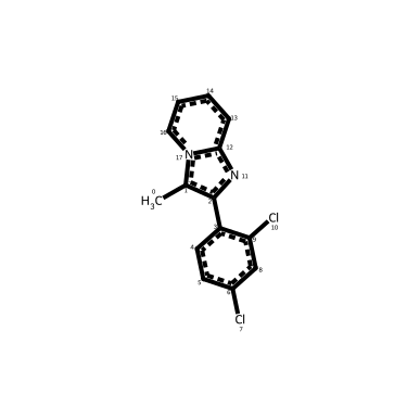 Cc1c(-c2ccc(Cl)cc2Cl)nc2ccccn12